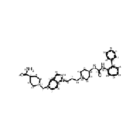 NC(=O)C1CCN(Cc2ccc3c(cnn3CCCN3CCC(OC(=O)Nc4ccccc4-c4ccccc4)CC3)c2)CC1